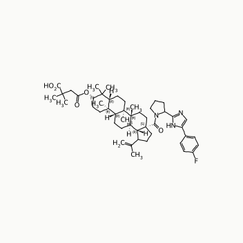 C=C(C)C1CC[C@]2(C(=O)N3CCCC3c3ncc(-c4ccc(F)cc4)[nH]3)CC[C@]3(C)[C@H](CC[C@@H]4[C@@]5(C)CC[C@H](OC(=O)CC(C)(C)C(=O)O)C(C)(C)[C@@H]5CC[C@]43C)[C@@H]12